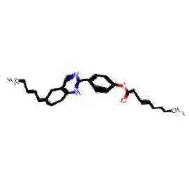 CCCCCCCC(=O)Oc1ccc(-c2ncc3c(n2)CCC(CCCCC)C3)cc1